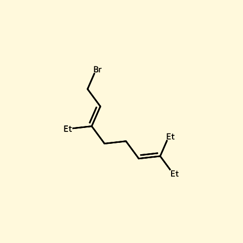 CCC(=CCCC(=CCBr)CC)CC